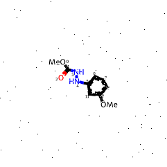 COC(=O)NNc1cccc(OC)c1